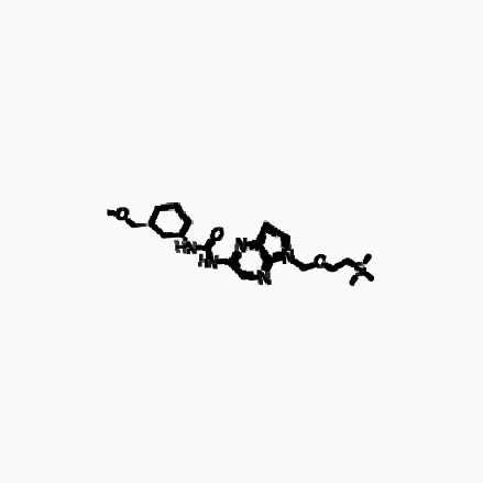 COC[C@H]1CCC[C@H](NC(=O)Nc2cnc3c(ccn3COCC[Si](C)(C)C)n2)C1